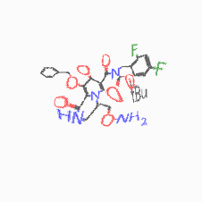 CC(C)(C)OC(=O)N(Cc1ccc(F)cc1F)C(=O)c1cn2c(c(OCc3ccccc3)c1=O)C(=O)NC[C@@H]2CON